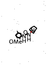 COc1ccc(C)cc1NC(=O)NC1CC2CCC(C1)N2C